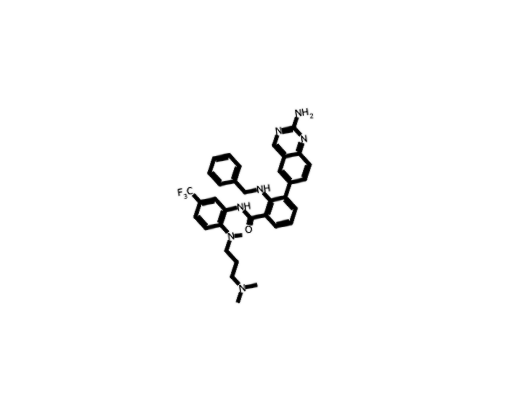 CN(C)CCCN(C)c1ccc(C(F)(F)F)cc1NC(=O)c1cccc(-c2ccc3nc(N)ncc3c2)c1NCc1ccccc1